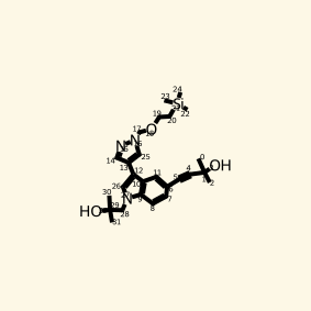 CC(C)(O)C#Cc1ccc2c(c1)c(-c1cnn(COCC[Si](C)(C)C)c1)cn2CC(C)(C)O